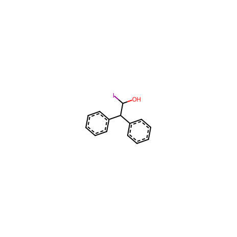 OC(I)C(c1ccccc1)c1ccccc1